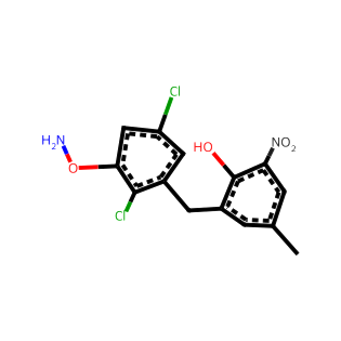 Cc1cc(Cc2cc(Cl)cc(ON)c2Cl)c(O)c([N+](=O)[O-])c1